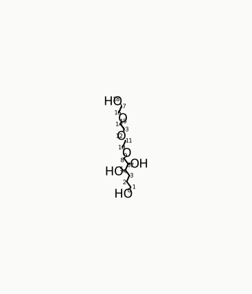 OCCCC(O)C(O)COCCOCCOCCO